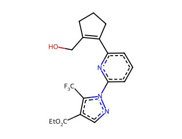 CCOC(=O)c1cnn(-c2cccc(C3=C(CO)CCC3)n2)c1C(F)(F)F